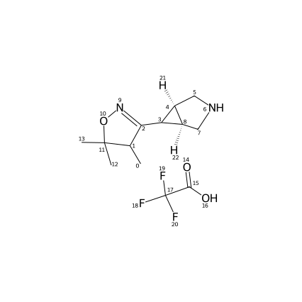 CC1C(C2[C@H]3CNC[C@@H]23)=NOC1(C)C.O=C(O)C(F)(F)F